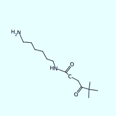 CC(C)(C)C(=O)CCC(=O)NCCCCCCN